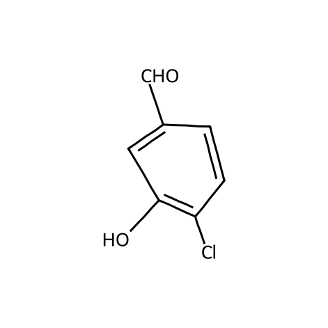 O=Cc1ccc(Cl)c(O)c1